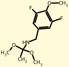 COc1c(F)cc(CNC(C)(OC)OC)cc1F